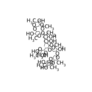 CO[C@H](C(=O)[C@@H](O)[C@@H](C)O)[C@@H]1Cc2cc3cc(O[C@H]4CC(O[C@H]5CC(OC(C)=O)[C@H](O)C(C)O5)[C@H](O)C(C)O4)c(C)c(O)c3c(O)c2C(=O)[C@H]1O[C@H]1C[C@@H](O[C@H]2C[C@@H](O[C@H]3C[C@](C)(O)[C@H](O)C(C)O3)[C@@H](O)C(C)O2)[C@H](O)C(C)O1